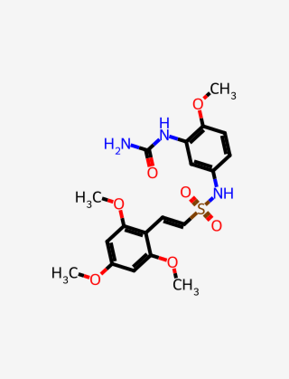 COc1cc(OC)c(C=CS(=O)(=O)Nc2ccc(OC)c(NC(N)=O)c2)c(OC)c1